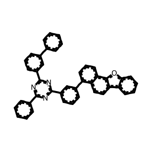 c1ccc(-c2cccc(-c3nc(-c4ccccc4)nc(-c4cccc(-c5cccc6c5ccc5c7ccccc7oc65)c4)n3)c2)cc1